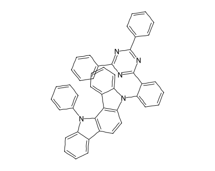 c1ccc(-c2nc(-c3ccccc3)nc(-c3ccccc3-n3c4ccccc4c4c3ccc3c5ccccc5n(-c5ccccc5)c34)n2)cc1